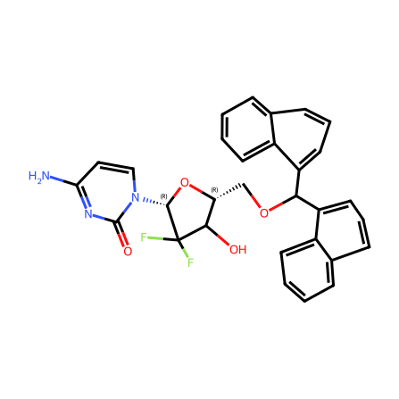 Nc1ccn([C@@H]2O[C@H](COC(c3cccc4ccccc34)c3cccc4ccccc34)C(O)C2(F)F)c(=O)n1